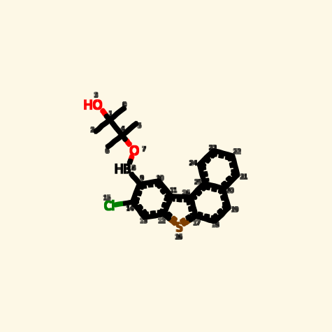 CC(C)(O)C(C)(C)OBc1cc2c(cc1Cl)sc1ccc3ccccc3c12